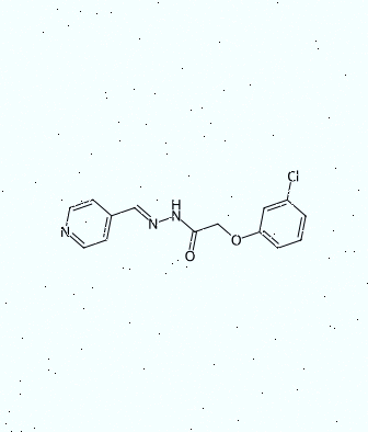 O=C(COc1cccc(Cl)c1)N/N=C/c1ccncc1